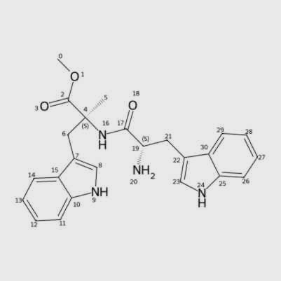 COC(=O)[C@](C)(Cc1c[nH]c2ccccc12)NC(=O)[C@@H](N)Cc1c[nH]c2ccccc12